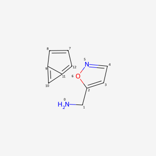 NCc1ccno1.c1cc2cc-2c1